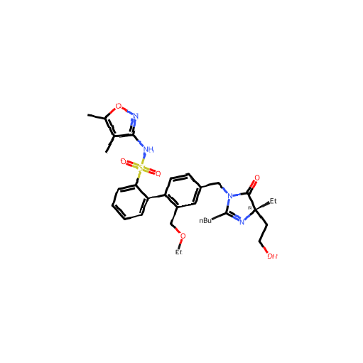 CCCCC1=N[C@@](CC)(CCO)C(=O)N1Cc1ccc(-c2ccccc2S(=O)(=O)Nc2noc(C)c2C)c(COCC)c1